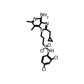 Cc1nc(N)c2nc(CC3CC3)n(CCCS(=O)(=O)Nc3ccc(Cl)cc3Cl)c2c1C